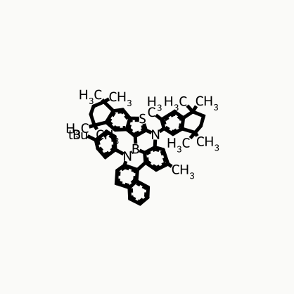 Cc1cc2c3c(c1)N(c1cc4c(cc1C)C(C)(C)CCC4(C)C)c1sc4cc5c(cc4c1B3N(c1ccc(C(C)(C)C)cc1)c1ccc3ccccc3c1-2)C(C)(C)CCC5(C)C